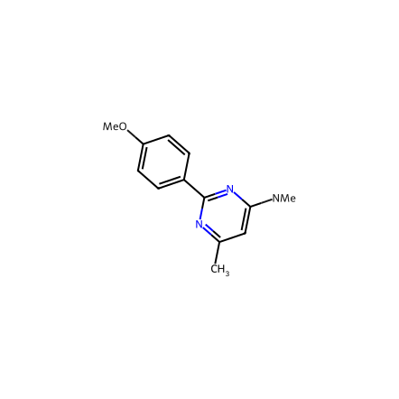 CNc1cc(C)nc(-c2ccc(OC)cc2)n1